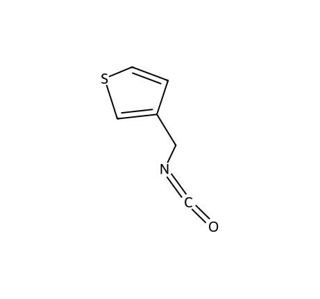 O=C=NCc1ccsc1